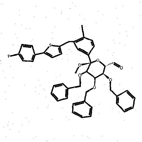 CO[C@@]1(c2ccc(C)c(Cc3ccc(-c4ccc(F)cc4)s3)c2)O[C@H](C=O)[C@@H](OCc2ccccc2)C(OCc2ccccc2)C1OCc1ccccc1